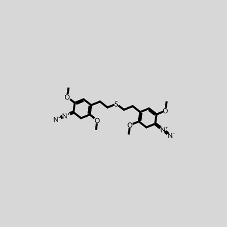 COC1=CC(CCSCCC2=C(OC)CC(=[N+]=[N-])C(OC)=C2)=C(OC)CC1=[N+]=[N-]